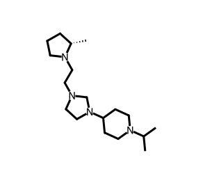 CC(C)N1CCC(N2CCN(CCN3CCC[C@@H]3C)C2)CC1